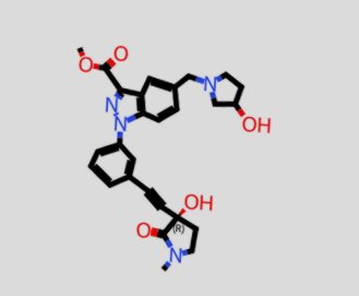 COC(=O)c1nn(-c2cccc(C#C[C@]3(O)CCN(C)C3=O)c2)c2ccc(CN3CCC(O)C3)cc12